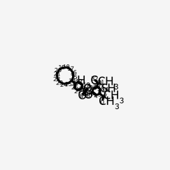 CC(C)c1cc(OS(=O)(=O)c2ccc(C3CCCCCCCCCCC3)cc2)cc(C(C)C)c1S